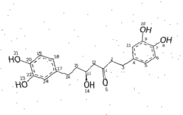 O=C(CCc1ccc(O)c(O)c1)C[C@@H](O)CCc1ccc(O)c(O)c1